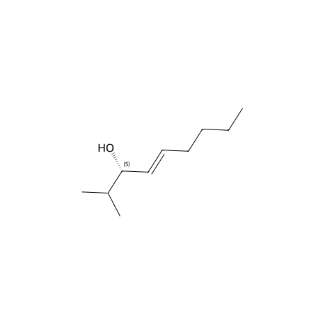 CCCCC=C[C@@H](O)C(C)C